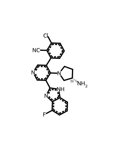 N#Cc1c(Cl)cccc1-c1cncc(-c2nc3c(F)cccc3[nH]2)c1N1CC[C@H](N)C1